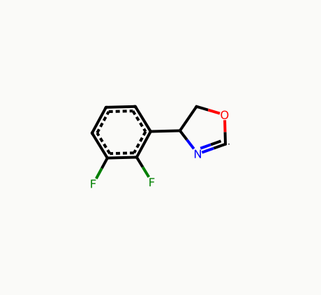 Fc1cccc(C2CO[C]=N2)c1F